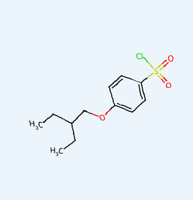 CCC(CC)COc1ccc(S(=O)(=O)Cl)cc1